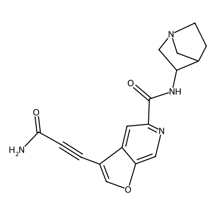 NC(=O)C#Cc1coc2cnc(C(=O)NC3CN4CCC3C4)cc12